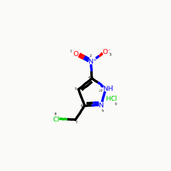 Cl.O=[N+]([O-])c1cc(CCl)n[nH]1